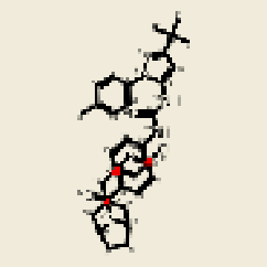 Cc1ccc(-n2nc(C(C)(C)C)cc2NC(=O)Nc2ccc(CC3CC4CCC(C3)N4C(=O)c3ccc(Cl)nc3)cc2)cc1